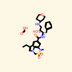 CCc1cn2c3c(cc(C(=O)N[C@@H](Cc4ccccc4)[C@H](O)CNC4CCOCC4)cc13)N(C)S(=O)(=O)C2.O=CO